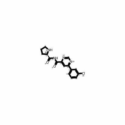 O=C(NC(=O)[C@H]1CCCN1)c1cc(-c2cccc(Cl)c2)ncn1